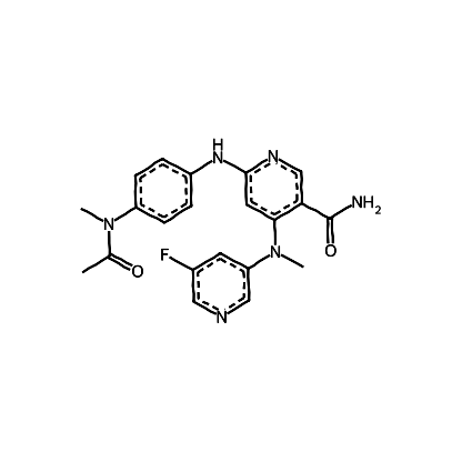 CC(=O)N(C)c1ccc(Nc2cc(N(C)c3cncc(F)c3)c(C(N)=O)cn2)cc1